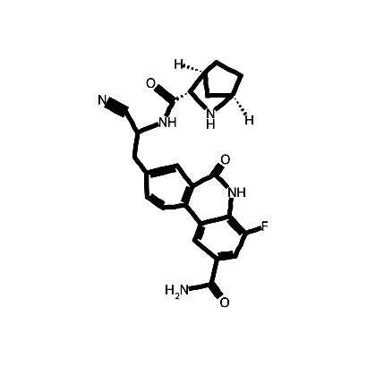 N#CC(Cc1ccc2c(c1)c(=O)[nH]c1c(F)cc(C(N)=O)cc12)NC(=O)[C@H]1N[C@@H]2CC[C@H]1C2